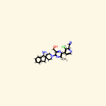 Cc1nc(N2CCC3(CC2)Cc2ccccc2[C@H]3N)c(CO)nc1-c1ccnc(C#N)c1Cl